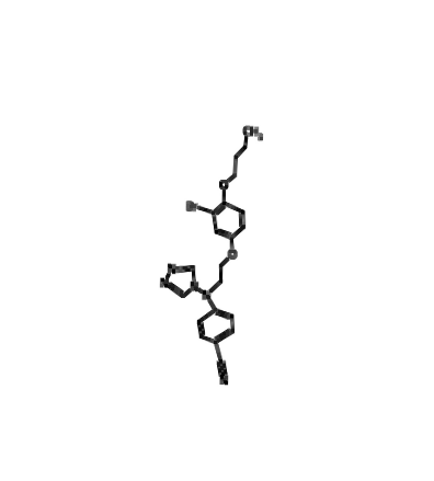 CCCCOc1ccc(OCCN(c2ccc(C#N)cc2)n2cnnc2)cc1Br